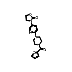 O=C(c1ccco1)N1CCN(c2ccc(N3CCOC3=O)cn2)CC1